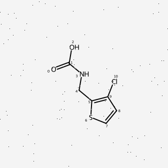 O=C(O)NCc1sccc1Cl